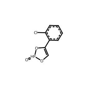 O=[PH]1OC=C(c2ccccc2Cl)O1